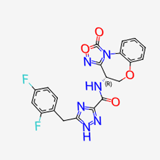 O=C(N[C@H]1COc2ccccc2-n2c1noc2=O)c1n[nH]c(Cc2ccc(F)cc2F)n1